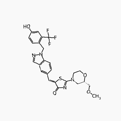 COC[C@@H]1CN(C2=NC(=O)/C(=C/c3ccc4c(cnn4Cc4ccc(O)cc4C(F)(F)F)c3)S2)CCO1